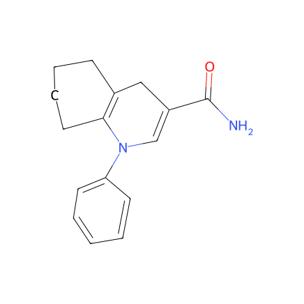 NC(=O)C1=CN(c2ccccc2)C2=C(CCCC2)C1